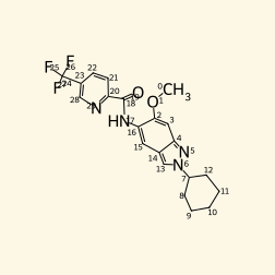 COc1cc2nn(C3CCCCC3)cc2cc1NC(=O)c1ccc(C(F)(F)F)cn1